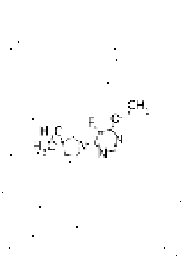 CCOc1ncnc(N2CCC(C)(C)C2)c1F